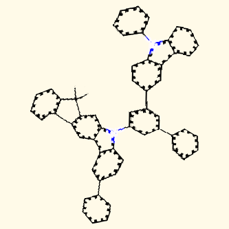 CC1(C)c2ccccc2-c2cc3c4cc(-c5ccccc5)ccc4n(-c4cc(-c5ccccc5)cc(-c5ccc6c(c5)c5ccccc5n6-c5ccccc5)c4)c3cc21